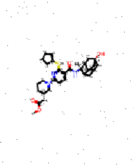 COC(=O)C[C@@H]1CCCN(c2ccc(C(=O)N[C@H]3C4CC5CC3C[C@@](O)(C5)C4)c(SC3CCCC3)n2)C1